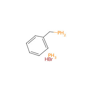 Br.P.PCc1ccccc1